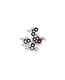 CC1(C)CCC(C)(C)c2cc(Nc3c(-c4cc5c(c6c4Bc4cc7c(cc4N6c4ccc6c(c4)C(C)(C)CCC6(C)C)C(C)(C)CCC7(C)C)C(C)(C)c4ccccc4-5)ccc4c3-c3ccccc3C4(C)C)ccc21